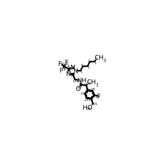 CCCCCCn1nc(C(F)(F)F)nc1CNC(=O)C(C)c1ccc(CO)c(F)c1